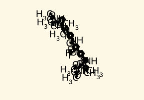 COC(=O)N[C@H](C(=O)N1CC(C)(C)C[C@H]1c1nc(-c2ccc(-c3ccc(C(=O)Nc4ccc(N5CCN(C(=O)[C@]6(C)CCCN6C(=O)[C@@H](NC(=O)OC)C(C)C)C[C@H]5C)nc4)cc3OC(F)(F)F)cc2)c[nH]1)C(C)C